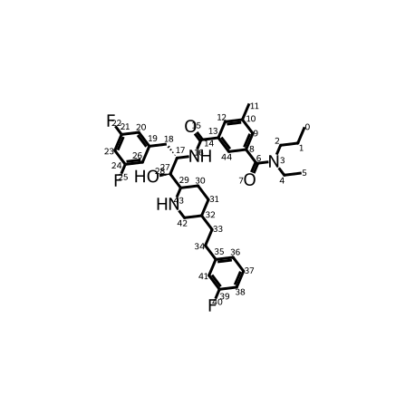 CCCN(CC)C(=O)c1cc(C)cc(C(=O)N[C@@H](Cc2cc(F)cc(F)c2)[C@H](O)C2CCC(CCc3cccc(F)c3)CN2)c1